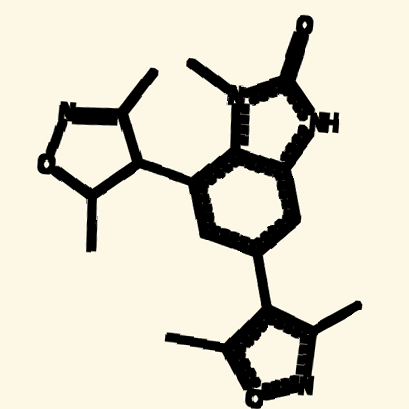 CC1=NOC(C)C1c1cc(-c2c(C)noc2C)cc2[nH]c(=O)n(C)c12